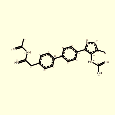 CC(=O)NC(=N)Cc1ccc(-c2ccc(-c3noc(C)c3NC(=O)O)cc2)cc1